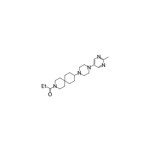 CCC(=O)N1CCC2(CCC(N3CCN(c4cnc(C)nc4)CC3)CC2)CC1